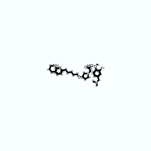 COc1c(F)cc(CN(C)C)cc1[C@@H](C(=O)O)N1CC[C@@H](OCCCCCc2ccc3c(n2)NCCC3)C1